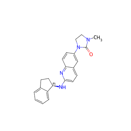 CN1CCN(c2ccc3nc(N[C@@H]4CCc5ccccc54)ccc3c2)C1=O